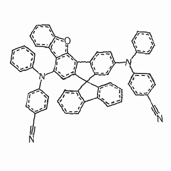 N#Cc1ccc(N(c2ccccc2)c2ccc3c(c2)C2(c4ccccc4-c4ccccc42)c2cc(N(c4ccccc4)c4ccc(C#N)cc4)c4c(oc5ccccc54)c2-3)cc1